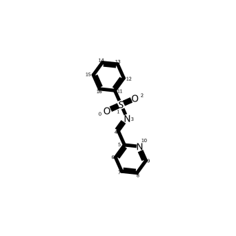 O=S(=O)(/N=C/c1ccccn1)c1ccccc1